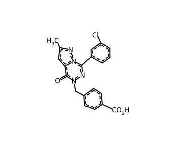 Cc1cc2c(=O)n(Cc3ccc(C(=O)O)cc3)nc(-c3cccc(Cl)c3)n2n1